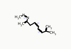 C=C(C)/C=C\C=C/CC(=C)/N=N\C